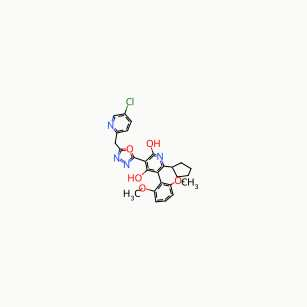 COc1cccc(OC)c1-c1c(C2CCCC2)nc(O)c(-c2nnc(Cc3ccc(Cl)cn3)o2)c1O